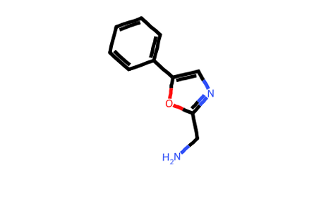 NCc1ncc(-c2ccccc2)o1